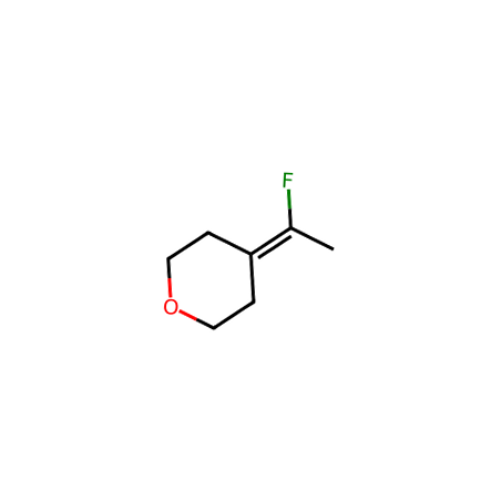 CC(F)=C1CCOCC1